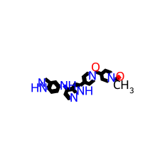 CC(=O)N1CCC(C(=O)N2CC=C(c3cc4c(Nc5ccc6[nH]ncc6c5)ccnc4[nH]3)CC2)CC1